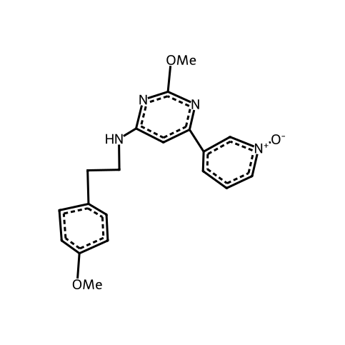 COc1ccc(CCNc2cc(-c3ccc[n+]([O-])c3)nc(OC)n2)cc1